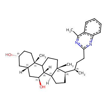 Cc1nc(CC[C@@H](C)[C@H]2CC[C@H]3[C@H]4C(CC[C@]23C)[C@@]2(C)CC[C@@H](O)C[C@H]2C[C@@H]4O)nc2ccccc12